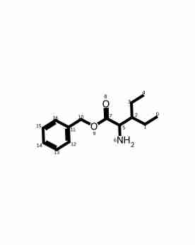 CCC(CC)C(N)C(=O)OCc1ccccc1